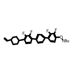 C=CC1CCC(c2ccc(-c3ccc(-c4ccc(OCCCC)c(F)c4F)cc3)c(F)c2F)CC1